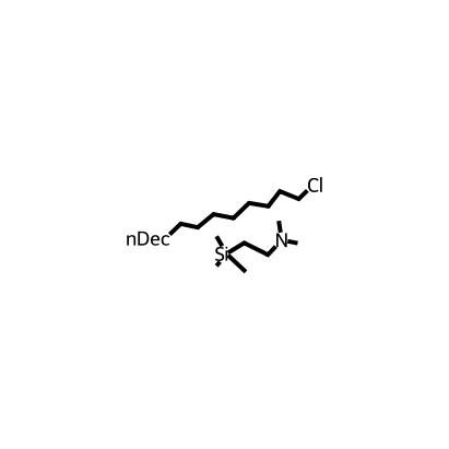 CCCCCCCCCCCCCCCCCCCl.CN(C)CC[Si](C)(C)C